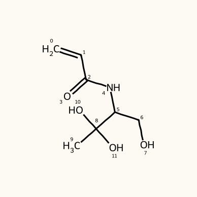 C=CC(=O)NC(CO)C(C)(O)O